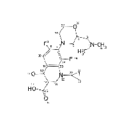 CN(C)CC1CN(c2c(F)cc3c(=O)c(C(=O)O)cn(C4CC4)c3c2F)CCO1